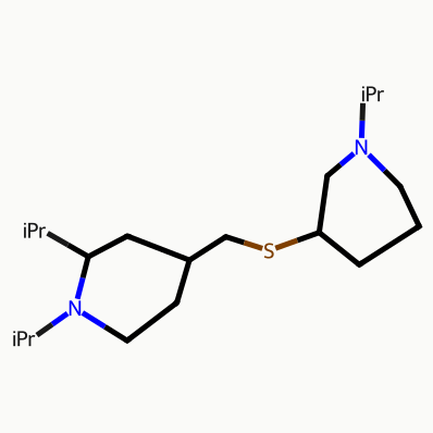 CC(C)C1CC(CSC2CCCN(C(C)C)C2)CCN1C(C)C